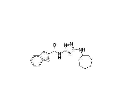 O=C(Nc1nnc(NC2CCCCCC2)s1)c1cc2ccccc2s1